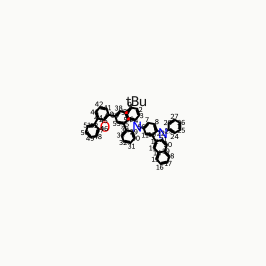 CC(C)(C)c1ccc(N(c2ccc3c(c2)c2cc4ccccc4cc2n3-c2ccccc2)c2ccccc2-c2cccc(-c3cccc4c3oc3ccccc34)c2)cc1